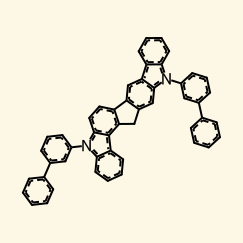 c1ccc(-c2cccc(-n3c4ccccc4c4cc5c(cc43)Cc3c-5ccc4c3c3ccccc3n4-c3cccc(-c4ccccc4)c3)c2)cc1